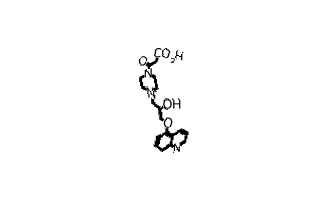 O=C(O)CC(=O)N1CCN(C[C@@H](O)COc2cccc3ncccc23)CC1